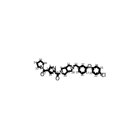 O=C(c1cnn(C(=O)N2CC3CN(Cc4cccc(Oc5ccc(Cl)cc5)c4)CC3C2)c1)N1CCCC1